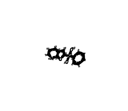 O=S(=O)(c1ccccc1)c1[c]c2cccnc2o1